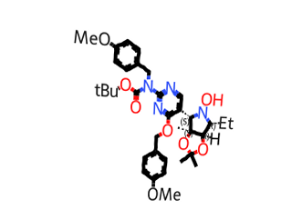 CC[C@@H]1[C@H]2OC(C)(C)O[C@@]2(C)[C@H](c2cnc(N(Cc3ccc(OC)cc3)C(=O)OC(C)(C)C)nc2OCc2ccc(OC)cc2)N1O